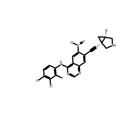 O=[N+]([O-])c1cc2c(Nc3ccc(Cl)c(Cl)c3F)ncnc2cc1C#C[C@@]12CNC[C@@H]1C2